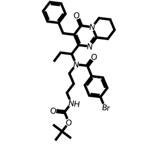 CCC(c1nc2n(c(=O)c1Cc1ccccc1)CCCC2)N(CCCNC(=O)OC(C)(C)C)C(=O)c1ccc(Br)cc1